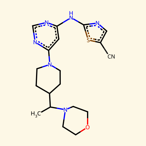 CC(C1CCN(c2cc(Nc3ncc(C#N)s3)ncn2)CC1)N1CCOCC1